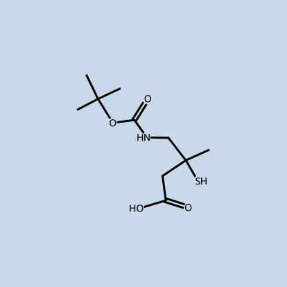 CC(S)(CNC(=O)OC(C)(C)C)CC(=O)O